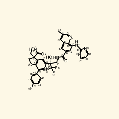 CC[C@]1(C(N)=O)COc2c1cc([C@@](O)(CNC(=O)c1cc(Nc3ncccn3)c3ncc(C)cc3c1)C(F)(F)F)nc2-c1ccc(F)cc1